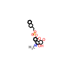 CN1C2C13CC14c5c3ccc(OS(=O)OCCC3=CCc6ccccc6C3)c5OC1C(=O)CCC24O